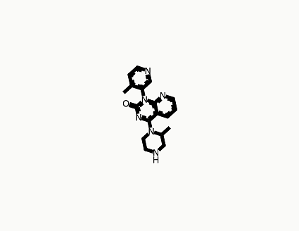 Cc1ccncc1-n1c(=O)nc(N2CCNCC2C)c2cccnc21